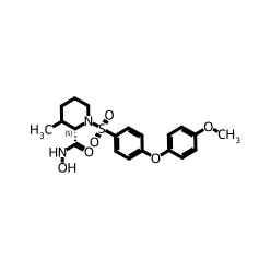 COc1ccc(Oc2ccc(S(=O)(=O)N3CCCC(C)[C@H]3C(=O)NO)cc2)cc1